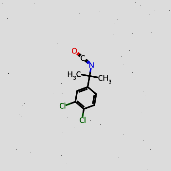 CC(C)(N=C=O)c1ccc(Cl)c(Cl)c1